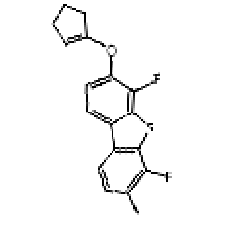 Cc1ccc2c(sc3c(F)c(OC4=CCCC4)ccc32)c1F